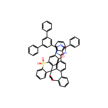 O=S1(=O)c2ccccc2C2(c3ccccc3-c3ccccc3-c3ccc(-c4nc(-c5ccccc5)nc(-c5cc(-c6ccccc6)cc(-c6ccccc6)c5)n4)cc32)c2cc3oc4ccccc4c3cc21